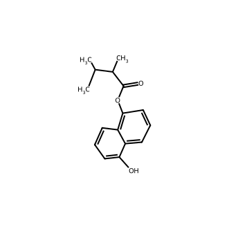 CC(C)C(C)C(=O)Oc1cccc2c(O)cccc12